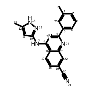 Cc1cccc(-c2nc(Nc3cc(C)[nH]n3)c3ccc(C#N)cc3n2)c1